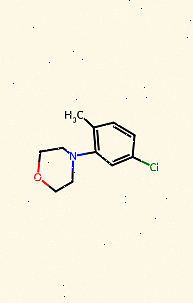 Cc1ccc(Cl)cc1N1CCOCC1